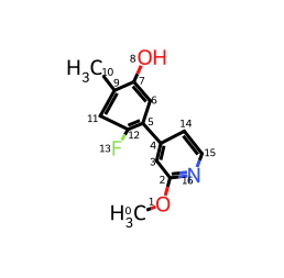 COc1cc(-c2cc(O)c(C)cc2F)ccn1